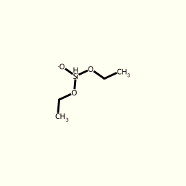 CCO[SiH]([O])OCC